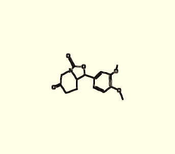 COc1ccc(C2OC(=O)N3CC(=O)CCC23)cc1OC